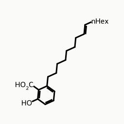 CCCCCC/C=C/CCCCCCCc1cccc(O)c1C(=O)O